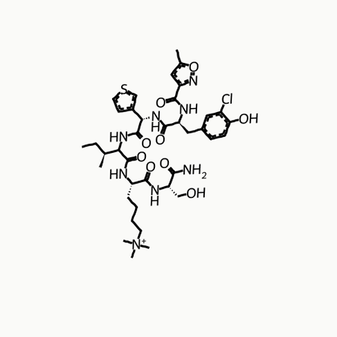 CC[C@H](C)C(NC(=O)[C@@H](NC(=O)[C@H](Cc1ccc(O)c(Cl)c1)NC(=O)c1cc(C)on1)c1ccsc1)C(=O)N[C@@H](CCCC[N+](C)(C)C)C(=O)N[C@@H](CO)C(N)=O